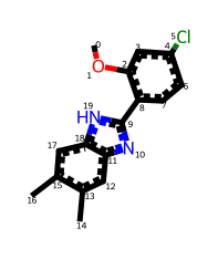 COc1cc(Cl)ccc1-c1nc2cc(C)c(C)cc2[nH]1